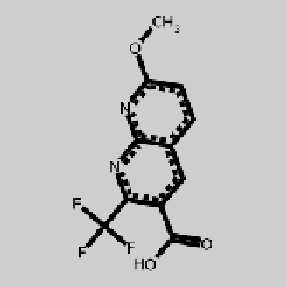 COc1ccc2cc(C(=O)O)c(C(F)(F)F)nc2n1